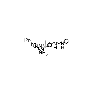 CC(C)CCN1CCN(c2cc(N)nc(NCc3ccc(CNCCCNC4CCCCC4)cc3)n2)CC1